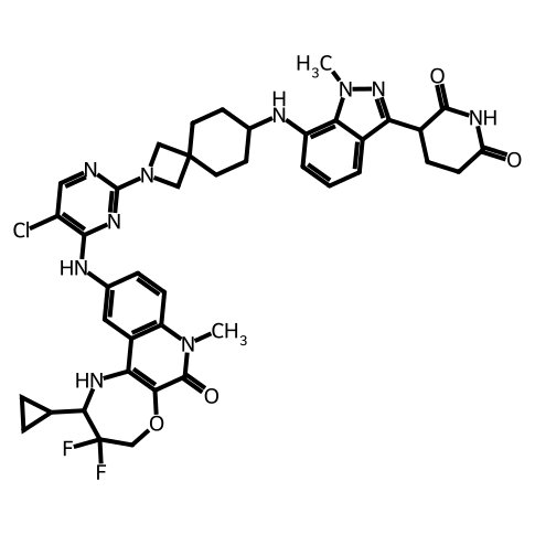 Cn1nc(C2CCC(=O)NC2=O)c2cccc(NC3CCC4(CC3)CN(c3ncc(Cl)c(Nc5ccc6c(c5)c5c(c(=O)n6C)OCC(F)(F)C(C6CC6)N5)n3)C4)c21